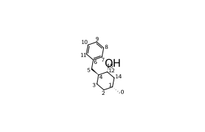 C[C@@H]1CC[C@@H](Cc2ccccc2)[C@H](O)C1